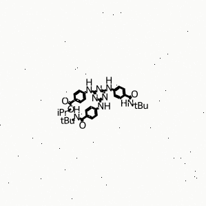 CC(C)OC(=O)c1ccc(Nc2nc(Nc3ccc(C(=O)NC(C)(C)C)cc3)nc(Nc3ccc(C(=O)NC(C)(C)C)cc3)n2)cc1